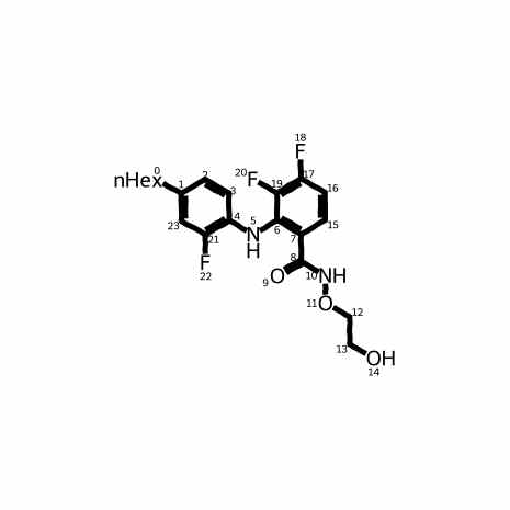 CCCCCCc1ccc(Nc2c(C(=O)NOCCO)ccc(F)c2F)c(F)c1